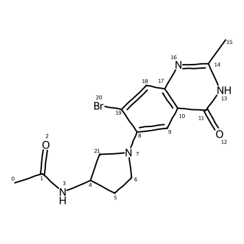 CC(=O)NC1CCN(c2cc3c(=O)[nH]c(C)nc3cc2Br)C1